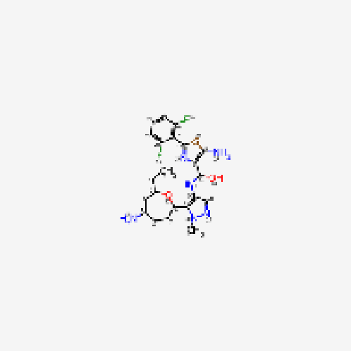 CC[C@@H]1CC(N)CC[C@H](c2c(NC(O)c3nc(-c4c(F)cccc4F)sc3N)cnn2C)O1